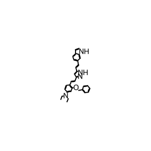 CCN(CC)c1ccc(C=Cc2cc(C=Cc3ccc4cc[nH]c4c3)[nH]n2)c(OCc2ccccc2)c1